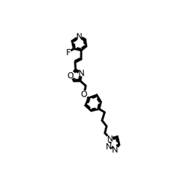 Fc1cnccc1/C=C/c1nc(COc2ccc(CCCCn3ccnn3)cc2)co1